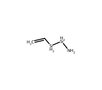 C=C[SiH2][SiH2]N